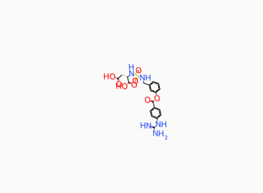 N=C(N)Nc1ccc(C(=O)Oc2cccc(CNS(=O)(=O)N[C@@H](CC(=O)O)C(=O)O)c2)cc1